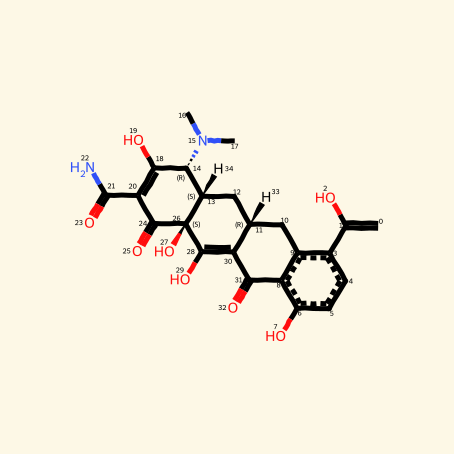 C=C(O)c1ccc(O)c2c1C[C@H]1C[C@H]3[C@@H](N(C)C)C(O)=C(C(N)=O)C(=O)[C@@]3(O)C(O)=C1C2=O